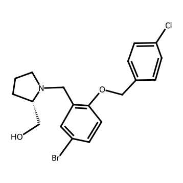 OC[C@@H]1CCCN1Cc1cc(Br)ccc1OCc1ccc(Cl)cc1